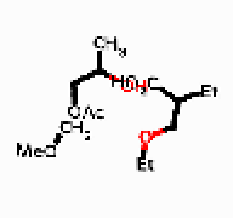 CC(=O)OCC(C)O.CCOCC(CC)C(=O)O.COC